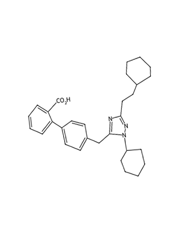 O=C(O)c1ccccc1-c1ccc(Cc2nc(CCC3CCCCC3)nn2C2CCCCC2)cc1